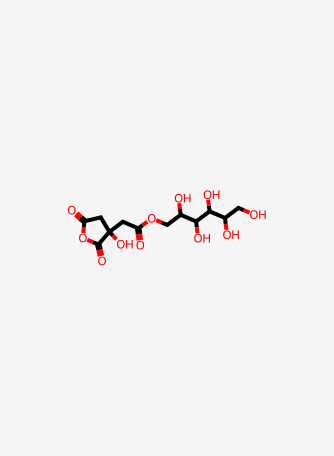 O=C(CC1(O)CC(=O)OC1=O)OCC(O)C(O)C(O)C(O)CO